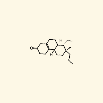 CCC[C@]1(C)CC[C@@H]2C3=C(CC[C@H]2[C@@H]1CC)CC(=O)CC3